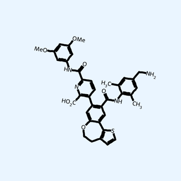 COc1cc(NC(=O)c2ccc(-c3cc4c(cc3C(=O)Nc3c(C)cc(CN)cc3C)-c3sccc3CCO4)c(C(=O)O)n2)cc(OC)c1